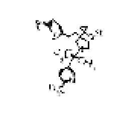 CCOC1([C@]2(CCc3ccc(F)s3)CCN(C(C)(C)c3ccc(C)nc3)C2)CC1